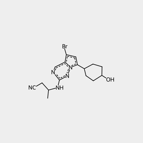 CC(CC#N)Nc1ncc2c(Br)cc(C3CCC(O)CC3)n2n1